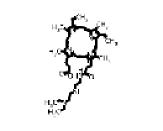 C=CC1=C(C)c2cc3[nH]c(cc4nc(cc5[nH]c(cc1n2)c(C)c5CCC(=O)NCCNCCN(CC)CC)C(CCC(=O)O)=C4C)c(C)c3C=C